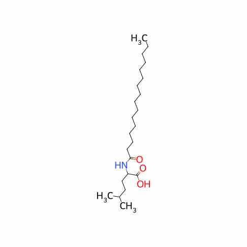 CCCCCCCCCCCCCCCC(=O)NC(CCC(C)C)C(=O)O